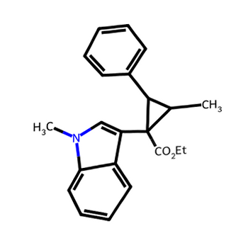 CCOC(=O)C1(c2cn(C)c3ccccc23)C(C)C1c1ccccc1